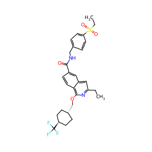 CCc1cc2cc(C(=O)NCc3ccc(S(=O)(=O)CC)cc3)ccc2c(OC[C@H]2CC[C@H](C(F)(F)F)CC2)n1